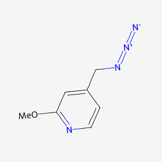 COc1cc(CN=[N+]=[N-])ccn1